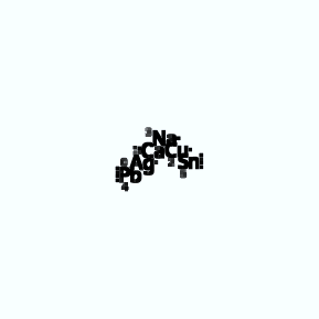 [Ag].[Ca].[Cu].[Na].[Pb].[Sn]